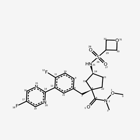 CON(C)C(=O)[C@@]1(Cc2ccc(F)c(-c3ncc(F)cn3)c2)CC[C@H](NS(=O)(=O)C2COC2)C1